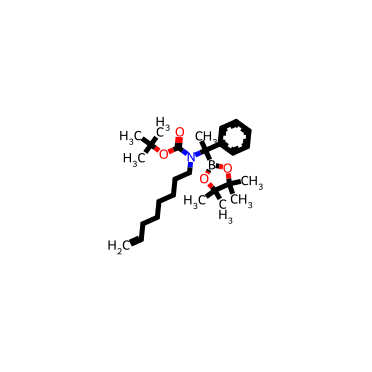 C=CCCCCCCN(C(=O)OC(C)(C)C)C(C)(B1OC(C)(C)C(C)(C)O1)c1ccccc1